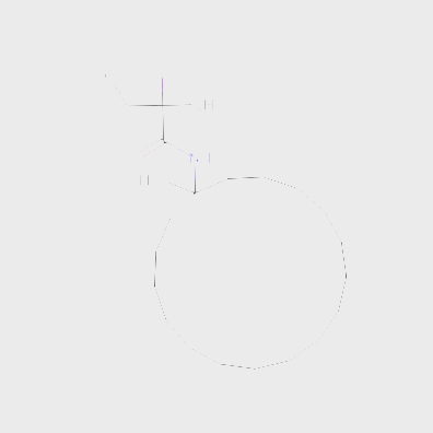 CCC(C)(I)C(=O)NC1(C)CCCCCCCCCCCCCCCC1